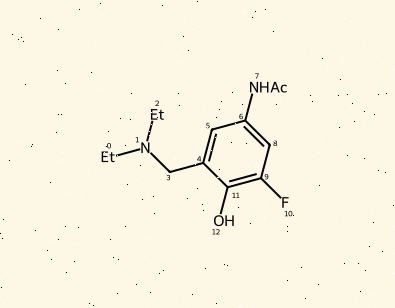 CCN(CC)Cc1cc(NC(C)=O)cc(F)c1O